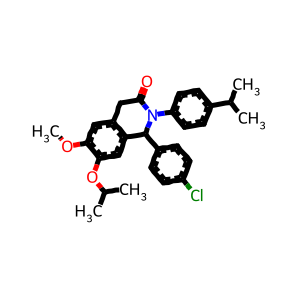 COc1cc2c(cc1OC(C)C)C(c1ccc(Cl)cc1)N(c1ccc(C(C)C)cc1)C(=O)C2